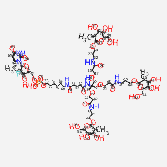 CC1[C@H](OCCCNC(=O)CCOCC(COCCC(=O)NCCCO[C@@H]2OC(CO)[C@H](O)[C@H](O)C2C)(COCCC(=O)NCCCO[C@@H]2OC(CO)[C@H](O)[C@H](O)C2C)NC(=O)CCCC(=O)NCCCCCCOP(=O)(O)OC[C@H]2O[C@@H](n3ccc(=O)[nH]c3=O)[C@](C)(F)[C@@H]2O)OC(CO)[C@H](O)[C@@H]1O